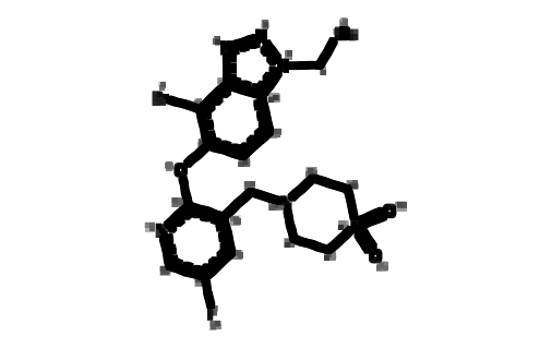 CC(C)(C)Cn1nnc2c(Br)c(Oc3ncc(F)cc3CN3CCS(=O)(=O)CC3)ccc21